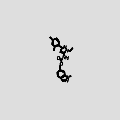 CCn1nc(-c2ccc(C)cc2C)cc1NC(=O)OCc1ccc2cnn(C)c2c1